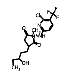 CCC(O)CCC1CC(=O)[N+](C)(Nc2ccc(C(F)(F)F)c(Cl)n2)C1=O